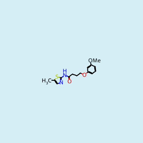 COc1cccc(OCCCC(=O)Nc2ncc(C)s2)c1